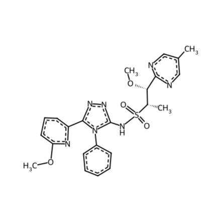 COc1cccc(-c2nnc(NS(=O)(=O)[C@@H](C)[C@H](OC)c3ncc(C)cn3)n2-c2ccccc2)n1